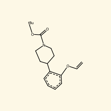 C=COc1ccccc1C1CCN(C(=O)OC(C)(C)C)CC1